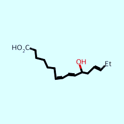 CC/C=C/CC(O)/C=C/C=C\CCCCCC(=O)O